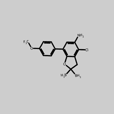 BC1(B)Cc2c(Cl)c(N)cc(-c3ccc(OC(F)(F)F)cc3)c2O1